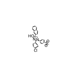 CS(=O)(=O)c1ccc(N2CC(O)(c3ccc4ccccc4c3)N=C2c2ccc(Cl)cc2)cc1